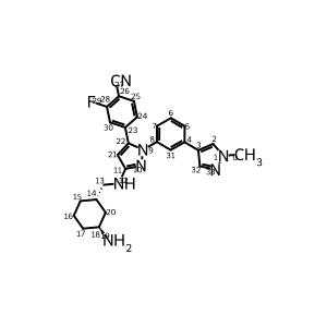 Cn1cc(-c2cccc(-n3nc(NC[C@H]4CCC[C@H](N)C4)cc3-c3ccc(C#N)c(F)c3)c2)cn1